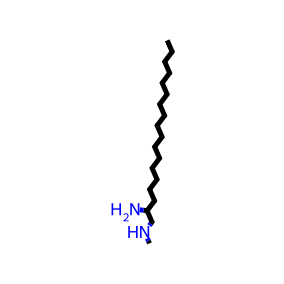 CCCCCCCCCCCCCCCCC(N)CNC